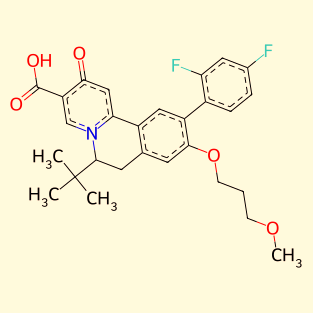 COCCCOc1cc2c(cc1-c1ccc(F)cc1F)-c1cc(=O)c(C(=O)O)cn1C(C(C)(C)C)C2